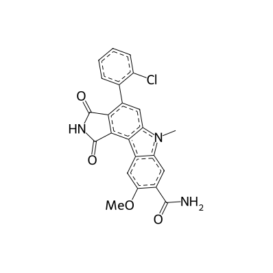 COc1cc2c3c4c(c(-c5ccccc5Cl)cc3n(C)c2cc1C(N)=O)C(=O)NC4=O